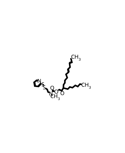 CCC=CCC=CCCCCCC(CCCCCCC)C(=O)COC(=O)N(C)CCSSc1ccccn1